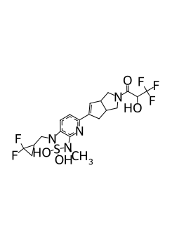 CN1c2nc(C3=CC4CN(C(=O)C(O)C(F)(F)F)CC4C3)ccc2N(CC2CC2(F)F)S1(O)O